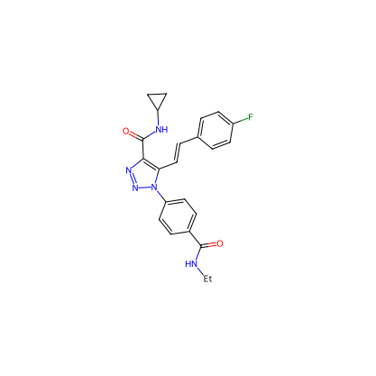 CCNC(=O)c1ccc(-n2nnc(C(=O)NC3CC3)c2C=Cc2ccc(F)cc2)cc1